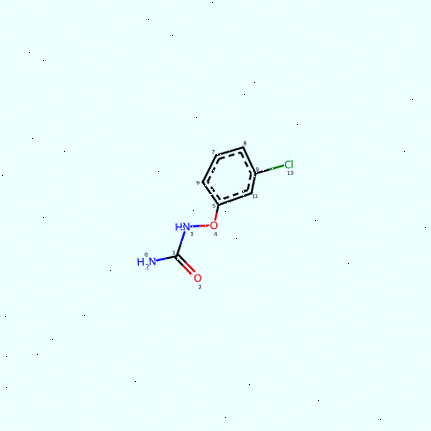 NC(=O)NOc1cccc(Cl)c1